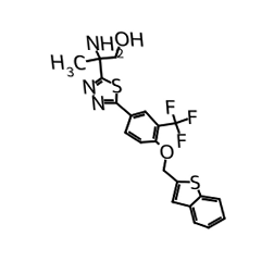 CC(N)(CO)c1nnc(-c2ccc(OCc3cc4ccccc4s3)c(C(F)(F)F)c2)s1